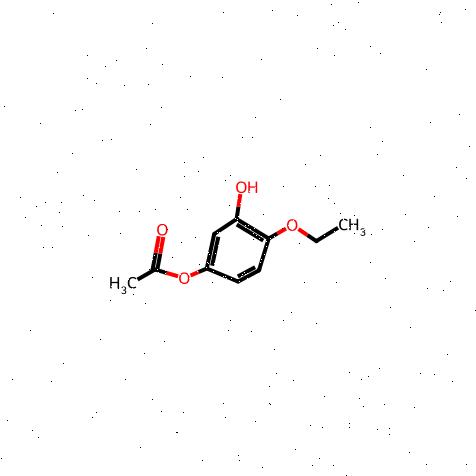 CCOc1ccc(OC(C)=O)cc1O